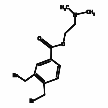 CN(C)CCOC(=O)c1ccc(CBr)c(CBr)c1